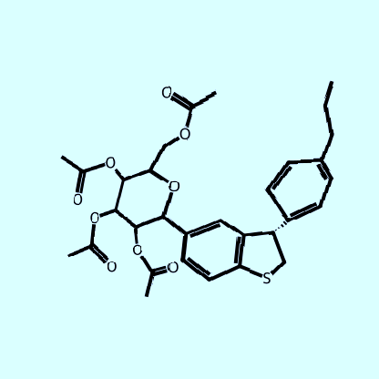 CCCc1ccc([C@@H]2CSc3ccc(C4OC(COC(C)=O)C(OC(C)=O)C(OC(C)=O)C4OC(C)=O)cc32)cc1